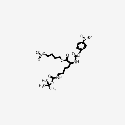 CC(C)(C)OC(=O)NCCCCC(NC(=O)Oc1ccc([N+](=O)[O-])cc1)C(=O)OCCCCO[N+](=O)[O-]